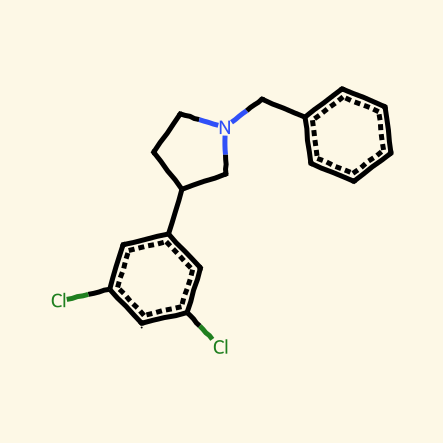 Clc1[c]c(Cl)cc(C2CCN(Cc3ccccc3)C2)c1